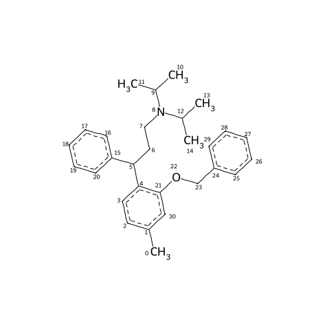 Cc1ccc(C(CCN(C(C)C)C(C)C)c2ccccc2)c(OCc2ccccc2)c1